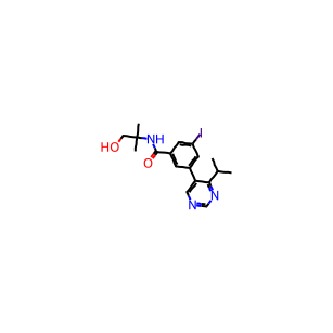 CC(C)c1ncncc1-c1cc(I)cc(C(=O)NC(C)(C)CO)c1